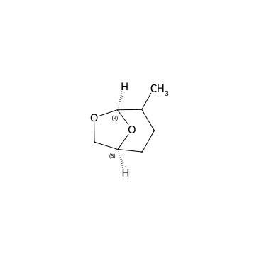 CC1CC[C@H]2CO[C@@H]1O2